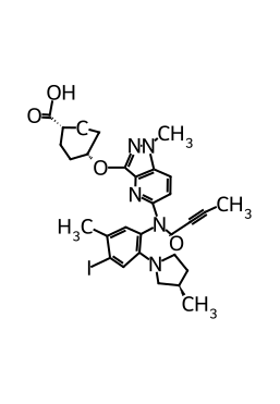 CC#CC(=O)N(c1ccc2c(n1)c(O[C@H]1CC[C@@H](C(=O)O)CC1)nn2C)c1cc(C)c(I)cc1N1CC[C@@H](C)C1